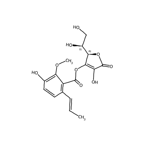 CC=Cc1ccc(O)c(OC)c1C(=O)OC1=C(O)C(=O)O[C@@H]1[C@@H](O)CO